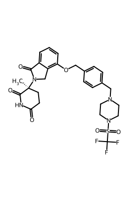 C[C@]1(N2Cc3c(OCc4ccc(CN5CCN(S(=O)(=O)C(F)(F)F)CC5)cc4)cccc3C2=O)CCC(=O)NC1=O